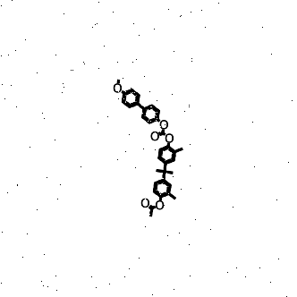 COc1ccc(-c2ccc(OC(=O)Oc3ccc(C(C)(C)c4ccc(OC(C)=O)c(C)c4)cc3C)cc2)cc1